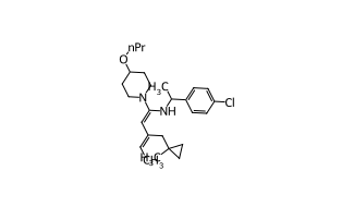 C/C=C(/C=C(\NC(C)c1ccc(Cl)cc1)N1CCC(OCCC)CC1)CC1(C)CC1